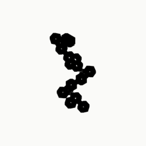 c1ccc(-c2ccc(-n3c4ccccc4c4ccc(-c5ccc6c7ccccc7n(-c7cc8ccc9cc(-c%10ccc%11c(c%10)C%10(c%12ccccc%12-%11)C%11CC%12CC(C%11)CC%10C%12)cc%10ccc(c7)c8c9%10)c6c5)cc43)c3ccccc23)cc1